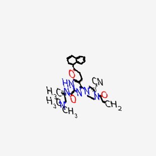 C=CC(=O)N1CCN(c2nc(C(=O)N[C@H](C)CN(C)C)nc3c2CCC(c2cccc4ccccc24)O3)C[C@@H]1CC#N